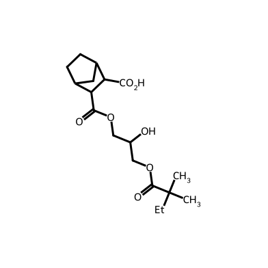 CCC(C)(C)C(=O)OCC(O)COC(=O)C1C2CCC(C2)C1C(=O)O